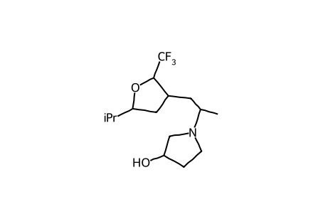 CC(C)C1CC(CC(C)N2CCC(O)C2)C(C(F)(F)F)O1